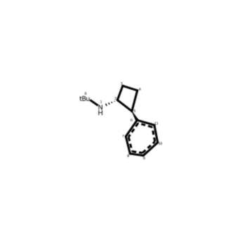 CC(C)(C)N[C@@H]1CC[C@H]1c1ccccc1